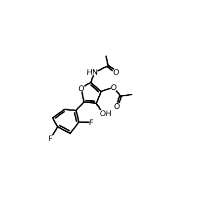 CC(=O)Nc1oc(-c2ccc(F)cc2F)c(O)c1OC(C)=O